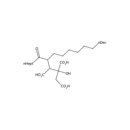 CCCCCCCCCCCCCCCCC(C(=O)CCCCCCC)C(C(=O)O)C(O)(CC(=O)O)C(=O)O